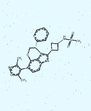 Cc1noc(C)c1-c1ccc2nc(N3CC(NS(C)(=O)=O)C3)n3c2c1OC[C@@H]3c1ccccn1